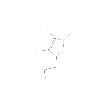 CCCc1nn(C)c(C)c1S